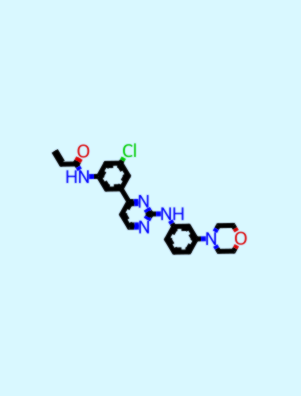 C=CC(=O)Nc1cc(Cl)cc(-c2ccnc(Nc3cccc(N4CCOCC4)c3)n2)c1